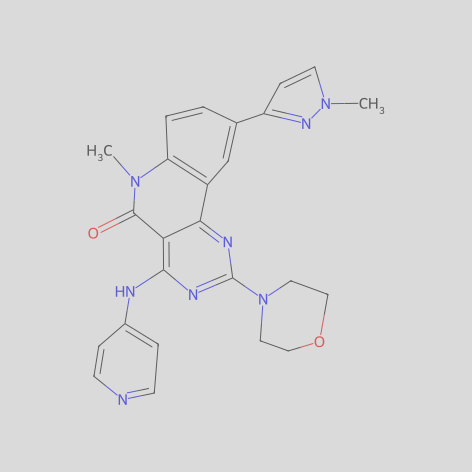 Cn1ccc(-c2ccc3c(c2)c2nc(N4CCOCC4)nc(Nc4ccncc4)c2c(=O)n3C)n1